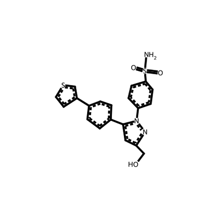 NS(=O)(=O)c1ccc(-n2nc(CO)cc2-c2ccc(-c3ccsc3)cc2)cc1